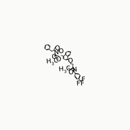 CO[C@@H](Cc1ccc(OCCc2nc(-c3ccc(C(F)(F)F)cc3)oc2C)c2ccccc12)C(=O)N1C(=O)OC[C@@H]1Cc1ccccc1